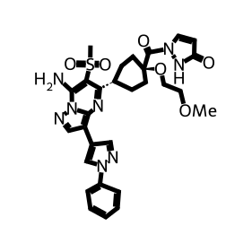 COCCO[C@]1(C(=O)n2ccc(=O)[nH]2)CC[C@@H](c2nc3c(-c4cnn(-c5ccccc5)c4)cnn3c(N)c2S(C)(=O)=O)CC1